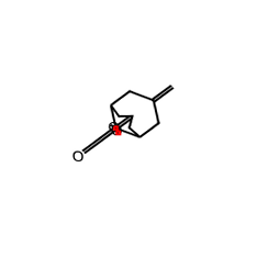 C=C1CC2CC(=O)CC(C1)C21OCCO1